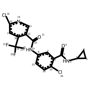 O=C(NC1CC1)c1cc(NC(=O)c2cnc(Cl)cc2C(F)(F)F)ccc1Cl